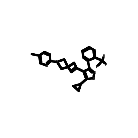 Cc1ccc(N2CC3(C=C(c4c(-c5ccccc5C(F)(F)F)noc4C4CC4)C3)C2)nc1